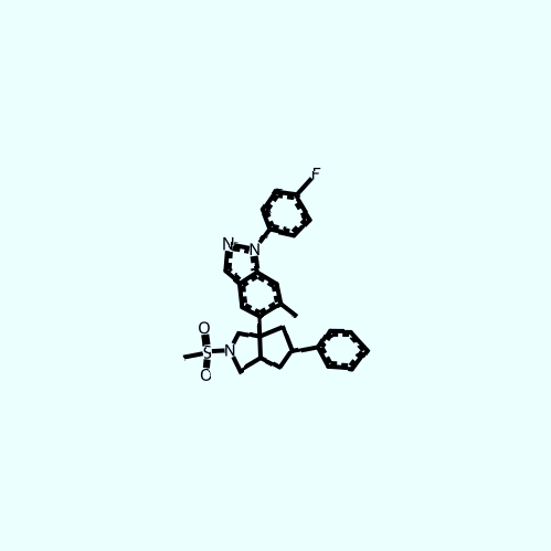 Cc1cc2c(cnn2-c2ccc(F)cc2)cc1C12CC(c3ccccc3)CC1CN(S(C)(=O)=O)C2